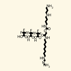 NCCCNCCCCNC(=O)OCC(=O)NCCCCCCCCNC=NN.O=C(O)C(F)(F)F.O=C(O)C(F)(F)F.O=C(O)C(F)(F)F